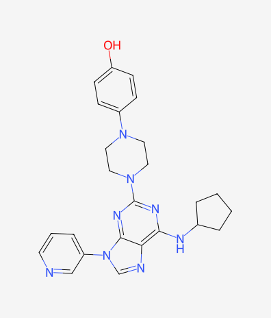 Oc1ccc(N2CCN(c3nc(NC4CCCC4)c4ncn(-c5cccnc5)c4n3)CC2)cc1